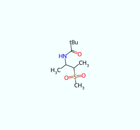 CC(NC(=O)C(C)(C)C)C(C)S(C)(=O)=O